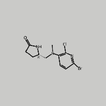 CN(C[C@@H]1CCC(=O)N1)c1ccc(Br)nc1Cl